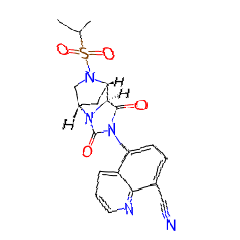 CC(C)S(=O)(=O)N1C[C@@H]2C[C@H]1[C@H]1C(=O)N(c3ccc(C#N)c4ncccc34)C(=O)N21